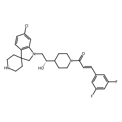 O=C(/C=C/c1cc(F)cc(F)c1)N1CCC([C@H](O)CN2CC3(CCNCC3)c3ccc(Cl)cc32)CC1